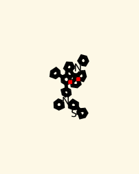 c1ccc(-c2cc(-c3ccc(N(c4ccccc4)c4ccc5c(c4)sc4ccccc45)cc3)cc3c2-c2cccc4c2C3(c2ccccc2)c2ccccc2N4c2ccccc2)cc1